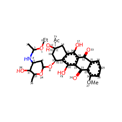 CCOC(C)NC1CC(O[C@H]2C[C@](O)(C(C)=O)Cc3c(O)c4c(c(O)c32)C(=O)c2c(OC)cccc2C4=O)OC(C)C1O